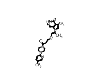 CC(COCCC(=O)N1CCN(c2ccc(C(F)(F)F)cn2)CC1)n1cc(C(F)(F)F)c2c(=O)[nH]ncc21